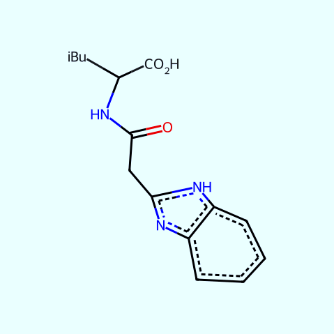 CCC(C)C(NC(=O)Cc1nc2ccccc2[nH]1)C(=O)O